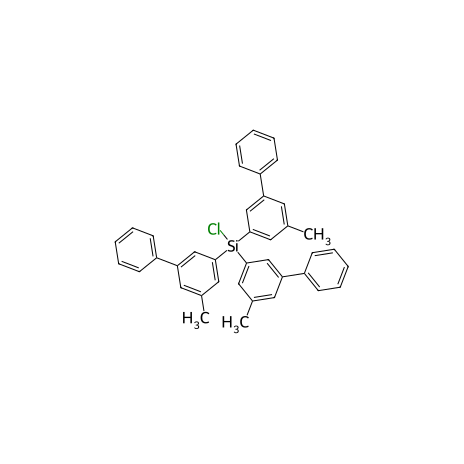 Cc1cc(-c2ccccc2)cc([Si](Cl)(c2cc(C)cc(-c3ccccc3)c2)c2cc(C)cc(-c3ccccc3)c2)c1